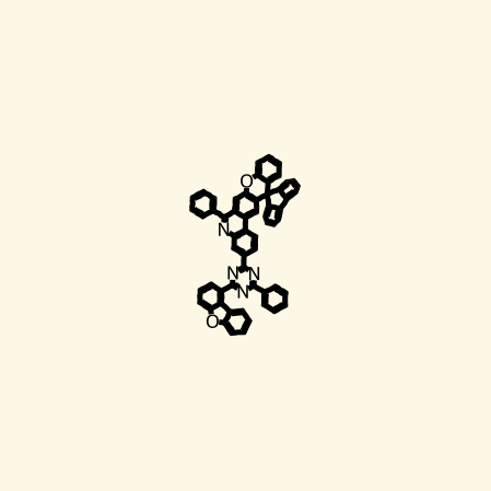 c1ccc(-c2nc(-c3ccc4c(c3)nc(-c3ccccc3)c3cc5c(cc34)C3(c4ccccc4O5)c4ccccc4-c4ccccc43)nc(-c3cccc4oc5ccccc5c34)n2)cc1